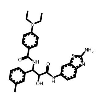 CCN(CC)c1ccc(C(=O)NC(c2cccc(C)c2)C(O)C(=O)Nc2ccc3nc(N)sc3c2)cc1